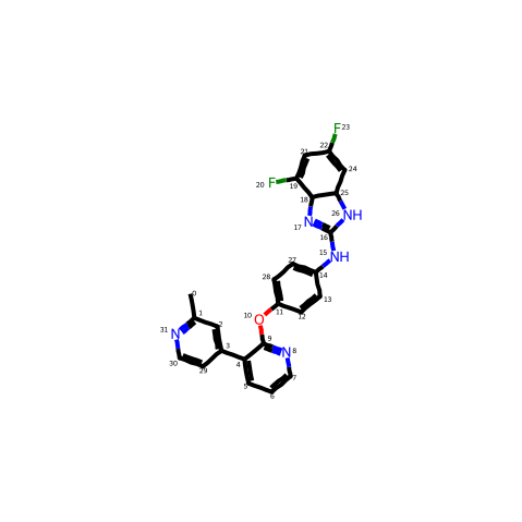 Cc1cc(-c2cccnc2Oc2ccc(NC3=NC4C(F)=CC(F)=CC4N3)cc2)ccn1